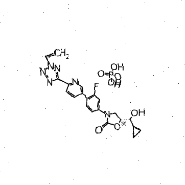 C=Cn1nnc(-c2ccc(-c3ccc(N4C[C@H](C(O)C5CC5)OC4=O)cc3F)cn2)n1.O=P(O)(O)O